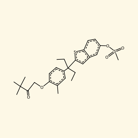 CCC(CC)(c1ccc(OCC(=O)C(C)(C)C)c(C)c1)c1cc2cc(OS(C)(=O)=O)ccc2s1